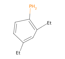 CCc1ccc(P)c(CC)c1